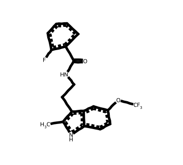 Cc1[nH]c2ccc(OC(F)(F)F)cc2c1CCNC(=O)c1ccccc1F